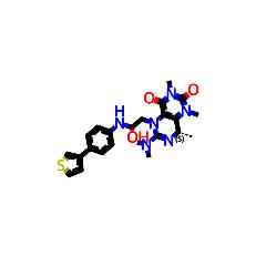 C[C@@H]1N=C(N(C)C)N(CC(O)Nc2ccc(-c3ccsc3)cc2)c2c1n(C)c(=O)n(C)c2=O